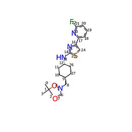 CC(C)(C)ON(C=O)C[C@H]1CC[C@H](Nc2nc(-c3cccc(F)n3)cs2)CC1